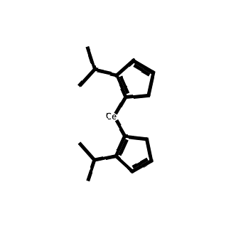 CC(C)C1=[C]([Ce][C]2=C(C(C)C)C=CC2)CC=C1